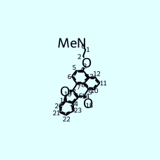 CNCCOc1ccc2c3c(cccc13)C(=O)c1c-2oc2ccccc12